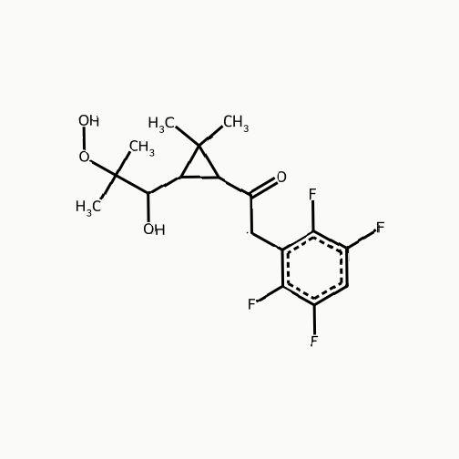 CC(C)(OO)C(O)C1C(C(=O)[CH]c2c(F)c(F)cc(F)c2F)C1(C)C